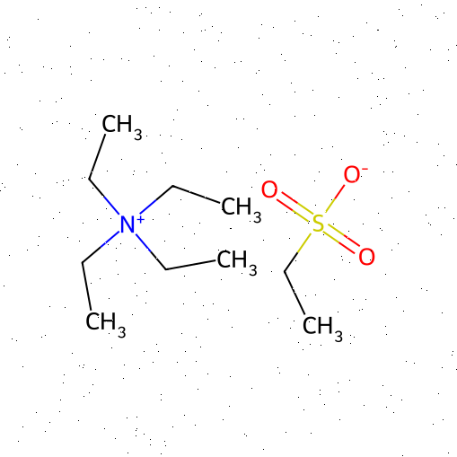 CCS(=O)(=O)[O-].CC[N+](CC)(CC)CC